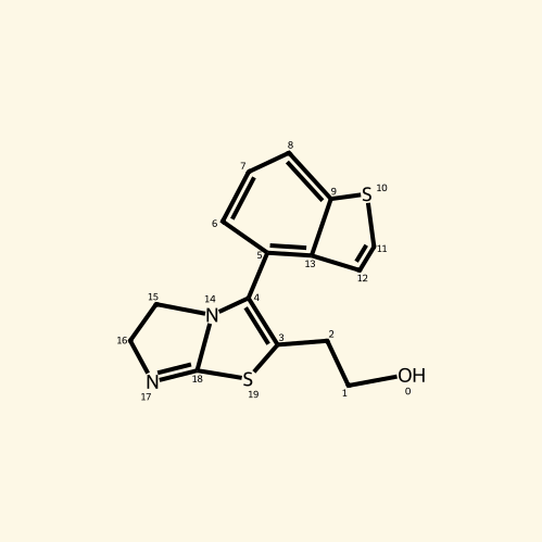 OCCC1=C(c2cccc3sccc23)N2CCN=C2S1